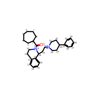 O=C(C1CCCCCC1)N1CCc2ccccc2C1CCN1CCC(c2ccccc2)CC1